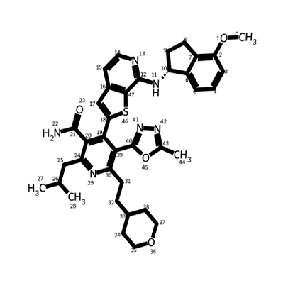 COc1cccc2c1CC[C@H]2Nc1nccc2cc(-c3c(C(N)=O)c(CC(C)C)nc(CCC4CCOCC4)c3-c3nnc(C)o3)sc12